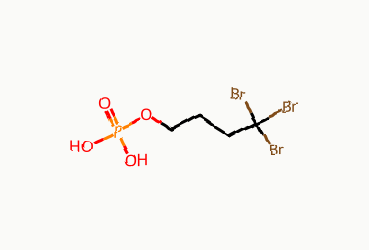 O=P(O)(O)OCCCC(Br)(Br)Br